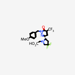 COc1ccc(Cn2nc([C@@H]3CC(F)(F)CN3CC(=O)O)cc(C(F)(F)F)c2=O)cc1